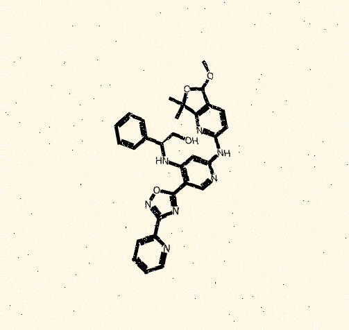 COC1OC(C)(C)c2nc(Nc3cc(N[C@H](CO)c4ccccc4)c(-c4nc(-c5ccccn5)no4)cn3)ccc21